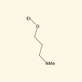 [CH]NCCCOCC